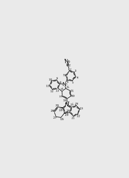 N#Cc1cccc(N2c3ccccc3C3C=C(n4c5c(c6ccccc64)CCC=C5)C=CC32)c1